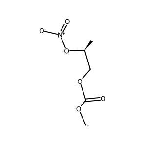 [CH2]OC(=O)OC[C@H](C)O[N+](=O)[O-]